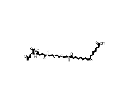 CC(=O)CC[C@H](NC(=O)CCC(=O)NCCOCCOCCNC(=O)CCCCCCC[C@H](C)CCCCCCC(=O)O)C(=O)O